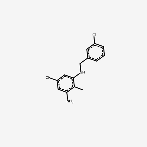 Cc1c(N)cc(Cl)cc1NCc1cccc(Cl)c1